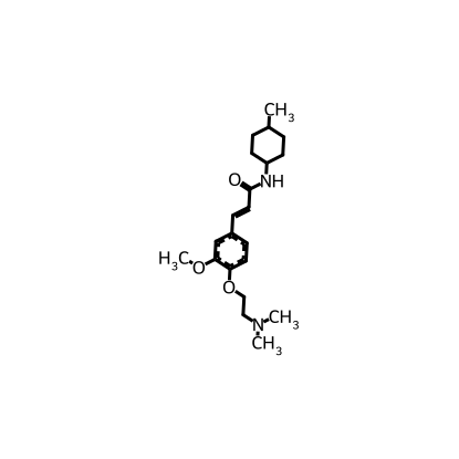 COc1cc(/C=C/C(=O)NC2CCC(C)CC2)ccc1OCCN(C)C